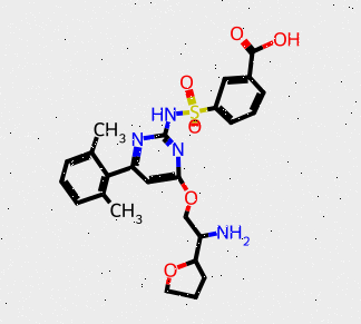 Cc1cccc(C)c1-c1cc(OCC(N)C2CCCO2)nc(NS(=O)(=O)c2cccc(C(=O)O)c2)n1